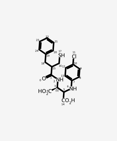 O=C(N[C@H](C(=O)O)C(Nc1ccc(Cl)cc1)C(=O)O)C(CS)Cc1ccccc1